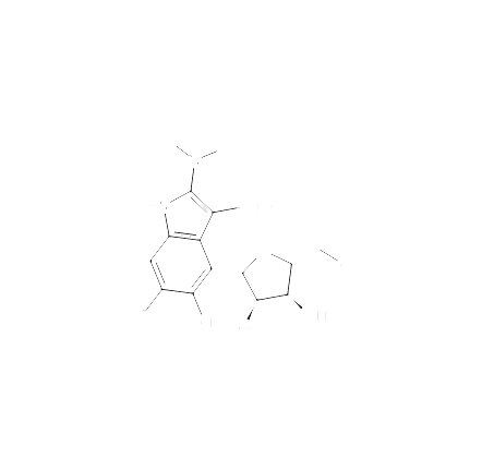 CN(C)c1[nH]c2cc(Cl)c(Cl)c([C@@H]3O[C@H](CO)[C@@H](O)[C@H]3O)c2c1C=O